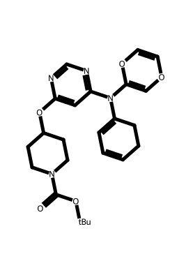 CC(C)(C)OC(=O)N1CCC(Oc2cc(N(C3=CC=CCC3)C3=COC=CO3)ncn2)CC1